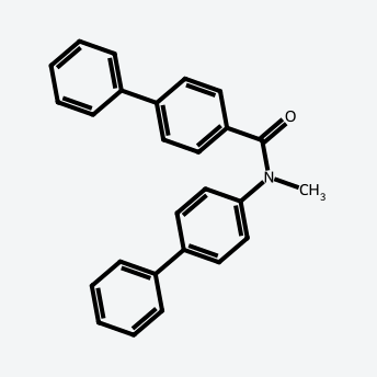 CN(C(=O)c1ccc(-c2ccccc2)cc1)c1ccc(-c2ccccc2)cc1